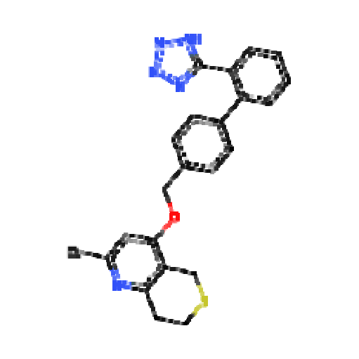 CCc1cc(OCc2ccc(-c3ccccc3-c3nnn[nH]3)cc2)c2c(n1)CCSC2